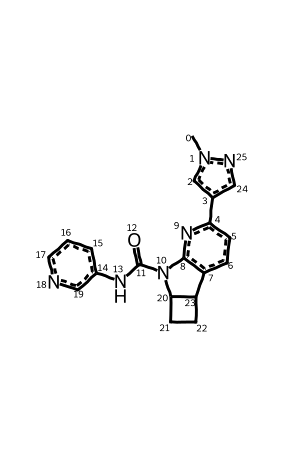 Cn1cc(-c2ccc3c(n2)N(C(=O)Nc2cccnc2)C2CCC32)cn1